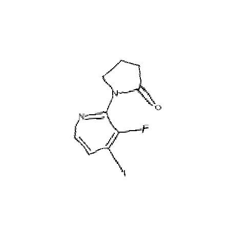 O=C1CCCN1c1nccc(I)c1F